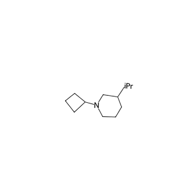 CC(C)C1CCCN(C2CCC2)C1